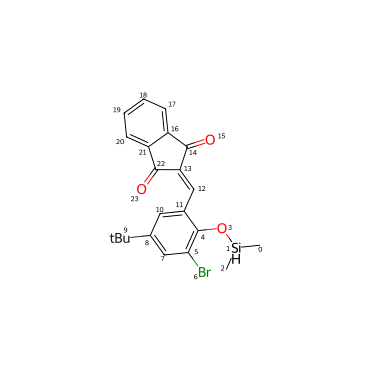 C[SiH](C)Oc1c(Br)cc(C(C)(C)C)cc1C=C1C(=O)c2ccccc2C1=O